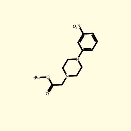 CC(C)(C)OC(=O)CN1CCN(c2cccc([N+](=O)[O-])c2)CC1